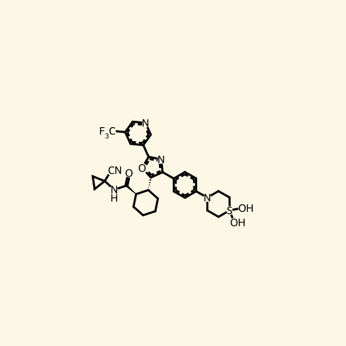 N#CC1(NC(=O)[C@@H]2CCCC[C@H]2c2oc(-c3cncc(C(F)(F)F)c3)nc2-c2ccc(N3CCS(O)(O)CC3)cc2)CC1